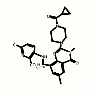 Cc1cc([C@H](C)Nc2ccc(Cl)nc2C(=O)O)c2nc(N3CCN(C(=O)C4CC4)CC3)n(C)c(=O)c2c1